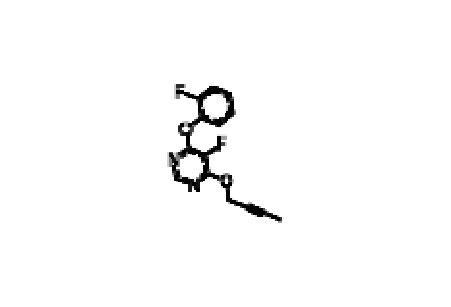 CC#CCOc1ncnc(Oc2ccccc2F)c1F